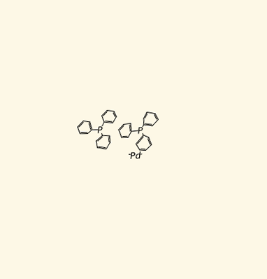 [CH3][Pd][CH3].c1ccc(P(c2ccccc2)c2ccccc2)cc1.c1ccc(P(c2ccccc2)c2ccccc2)cc1